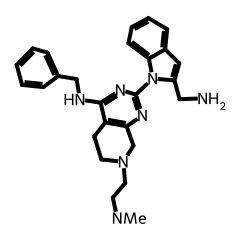 CNCCN1CCc2c(nc(-n3c(CN)cc4ccccc43)nc2NCc2ccccc2)C1